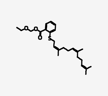 CCOCOC(=O)c1ccccc1SCC=C(C)CCC=C(C)CCC=C(C)C